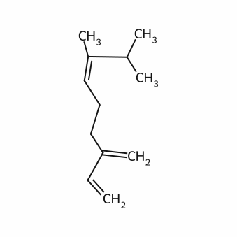 C=CC(=C)CCC=C(C)C(C)C